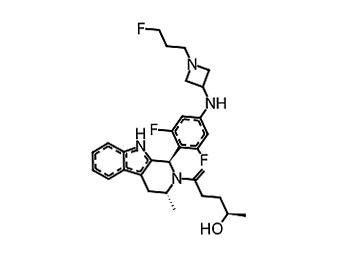 C=C(CC[C@@H](C)O)N1[C@H](c2c(F)cc(NC3CN(CCCF)C3)cc2F)c2[nH]c3ccccc3c2C[C@H]1C